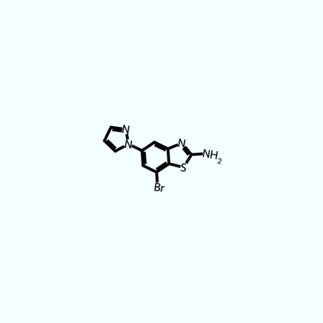 Nc1nc2cc(-n3cccn3)cc(Br)c2s1